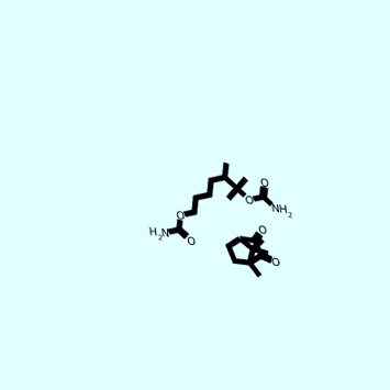 CC(CCCCOC(N)=O)C(C)(C)OC(N)=O.CC12CCC(C(=O)C1=O)C2(C)C